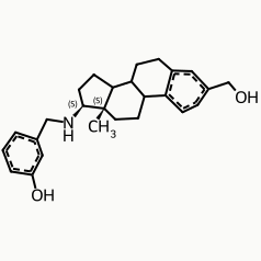 C[C@]12CCC3c4ccc(CO)cc4CCC3C1CC[C@@H]2NCc1cccc(O)c1